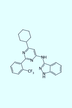 FC(F)(F)c1ccccc1-c1nc(Nc2n[nH]c3ccccc23)cc(C2CCCCC2)n1